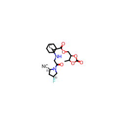 CC1OC(=O)OC1COC(=O)C1CC2CCC1(NCC(=O)N1C[C@@H](F)C[C@H]1C#N)CC2